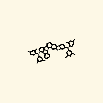 Cc1cc(C)cc(N(c2ccc3c(c2)oc2cc4c(ccc5c6ccc(N(c7cc(C)cc(C)c7)c7ccc(C)cc7C)c7c8ccccc8n(c45)c67)cc23)c2ccc(C)cc2C)c1